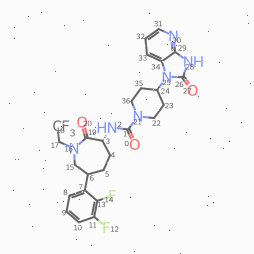 O=C(N[C@@H]1CCC(c2cccc(F)c2F)CN(CC(F)(F)F)C1=O)N1CCC(n2c(=O)[nH]c3ncccc32)CC1